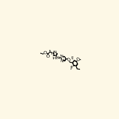 CCOC(=O)C(C)n1cc(Nc2ncc(OCc3c(F)c(CC)cc(OC)c3F)cn2)cn1